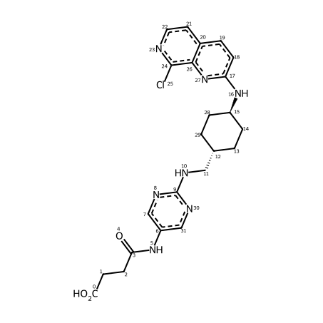 O=C(O)CCC(=O)Nc1cnc(NC[C@H]2CC[C@H](Nc3ccc4ccnc(Cl)c4n3)CC2)nc1